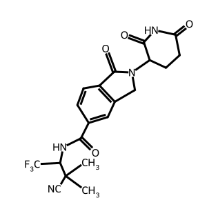 CC(C)(C#N)C(NC(=O)c1ccc2c(c1)CN(C1CCC(=O)NC1=O)C2=O)C(F)(F)F